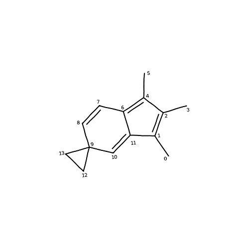 CC1=C(C)C(C)=C2C=CC3(C=C12)CC3